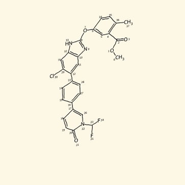 COC(=O)c1cc(Oc2nc3cc(-c4ccc(-c5ccc(=O)n(C(F)F)c5)cc4)c(Cl)cc3[nH]2)ccc1C